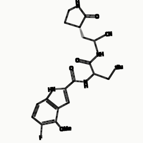 COc1c(F)ccc2[nH]c(C(=O)NC(CC(C)(C)C)C(=O)NC(C#N)C[C@@H]3CCNC3=O)cc12